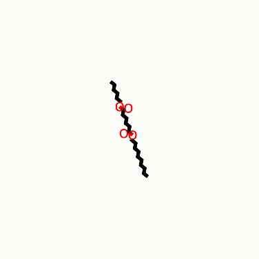 CCCCCCCCCCOC(=O)CCCCC(=O)OCCCCCC